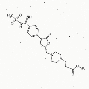 CC(C)OC(=O)CCN1CCN(CC2CN(c3ccc(C(=N)NS(C)(=O)=O)cc3)C(=O)O2)CC1